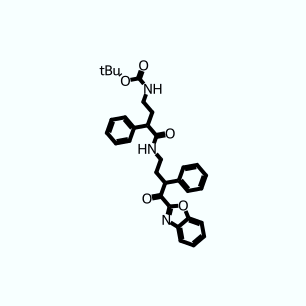 CC(C)(C)OC(=O)NCCC(C(=O)NCCC(C(=O)c1nc2ccccc2o1)c1ccccc1)c1ccccc1